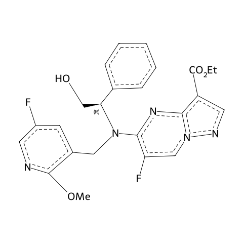 CCOC(=O)c1cnn2cc(F)c(N(Cc3cc(F)cnc3OC)[C@@H](CO)c3ccccc3)nc12